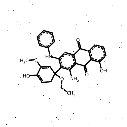 CCOC1(c2c(Nc3ccccc3)cc3c(c2N)C(=O)c2c(O)cccc2C3=O)C=C(OC)C(O)=CC1